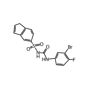 O=C(Nc1ccc(F)c(Br)c1)NS(=O)(=O)c1ccc2c(c1)C=CC2